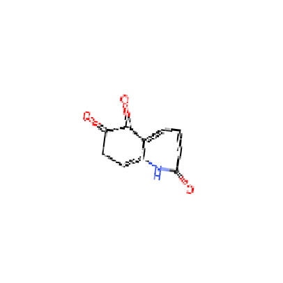 O=C1C=CC=C2C(=O)C(=O)CC=C2N1